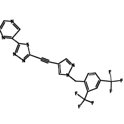 FC(F)(F)c1ccc(Cn2cc(C#Cc3nnc(-c4cnccn4)s3)cn2)c(C(F)(F)F)c1